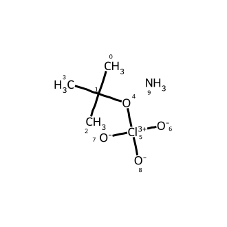 CC(C)(C)O[Cl+3]([O-])([O-])[O-].N